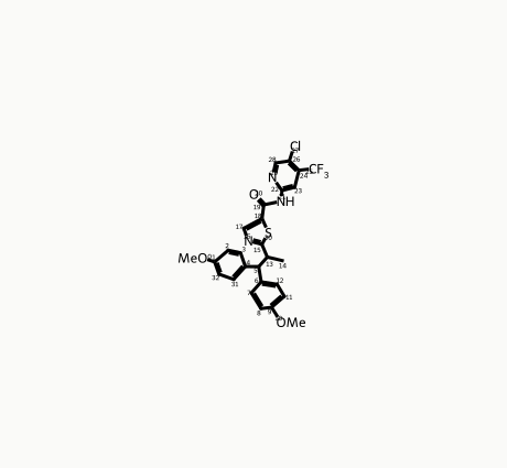 COc1ccc(C(c2ccc(OC)cc2)C(C)c2ncc(C(=O)Nc3cc(C(F)(F)F)c(Cl)cn3)s2)cc1